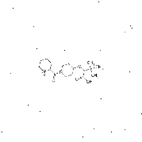 CC(C)(C)C(OC1CCN(C(=O)C2CCCCN2)CC1)C(=O)O